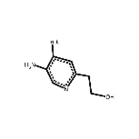 CCCCc1cc(CCO)ncc1N